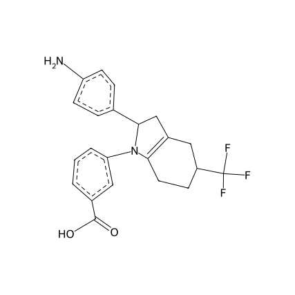 Nc1ccc(C2CC3=C(CCC(C(F)(F)F)C3)N2c2cccc(C(=O)O)c2)cc1